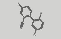 N#Cc1cc(F)ccc1-c1cc(Br)ccc1F